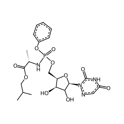 CC(C)COC(=O)[C@H](C)NP(=O)(OC[C@H]1O[C@@H](n2ncc(=O)[nH]c2=O)C(O)[C@H]1O)Oc1ccccc1